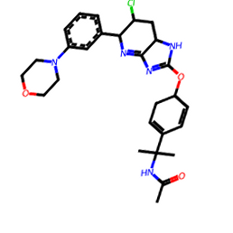 CC(=O)NC(C)(C)C1=CCC(OC2=NC3=NC(c4cccc(N5CCOCC5)c4)C(Cl)CC3N2)C=C1